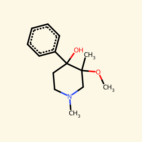 COC1(C)CN(C)CCC1(O)c1ccccc1